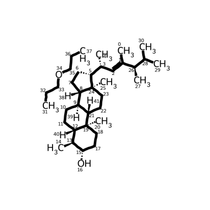 C/C(=C\[C@@H](C)[C@H]1CC[C@H]2[C@@H]3CC[C@H]4[C@H](C)[C@@H](O)CC[C@]4(C)[C@H]3CC[C@]12C)[C@H](C)C(C)C.CCCOCCC